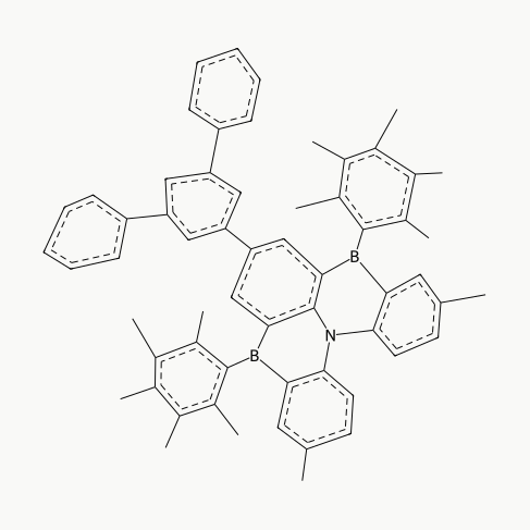 Cc1ccc2c(c1)B(c1c(C)c(C)c(C)c(C)c1C)c1cc(-c3cc(-c4ccccc4)cc(-c4ccccc4)c3)cc3c1N2c1ccc(C)cc1B3c1c(C)c(C)c(C)c(C)c1C